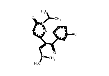 CC(C)n1nc(C(=CN(C)C)C(=O)c2cccc(Cl)c2)ccc1=O